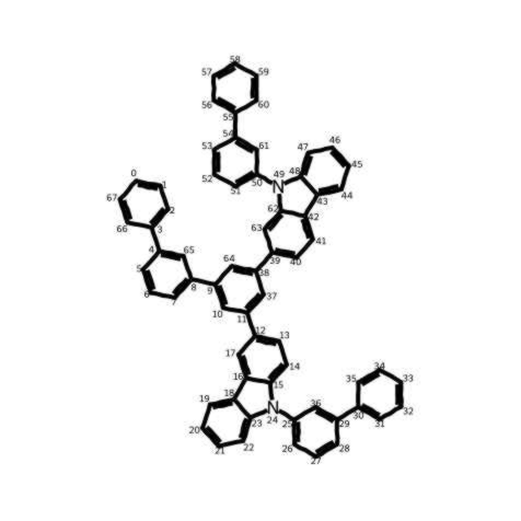 c1ccc(-c2cccc(-c3cc(-c4ccc5c(c4)c4ccccc4n5-c4cccc(-c5ccccc5)c4)cc(-c4ccc5c6ccccc6n(-c6cccc(-c7ccccc7)c6)c5c4)c3)c2)cc1